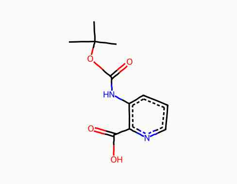 CC(C)(C)OC(=O)Nc1cccnc1C(=O)O